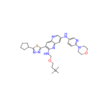 C[Si](C)(C)CCOCNc1nc2cc(Nc3ccc(N4CCOCC4)nc3)cnc2cc1-c1nnc(C2CCCC2)s1